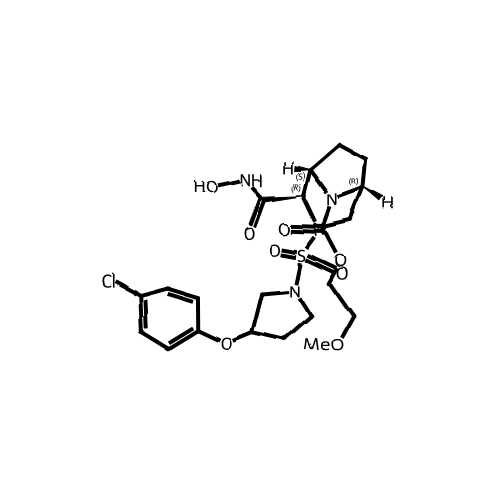 COCCOC(=O)N1[C@@H]2CC[C@H]1[C@H](C(=O)NO)N(S(=O)(=O)N1CCC(Oc3ccc(Cl)cc3)C1)C2